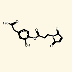 O=C(O)Cc1ccc(OC(=O)CCN2C(=O)C=CC2=O)c(O)c1